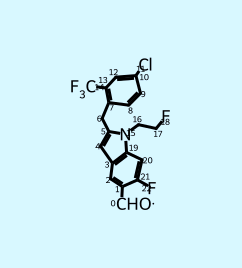 O=[C]c1cc2cc(Cc3ccc(Cl)cc3C(F)(F)F)n(CCF)c2cc1F